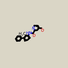 Cc1c(NC(=O)c2cc(C=O)ccn2)cccc1-c1ccccc1